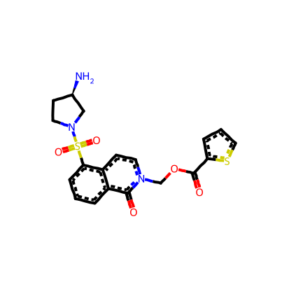 N[C@@H]1CCN(S(=O)(=O)c2cccc3c(=O)n(COC(=O)c4cccs4)ccc23)C1